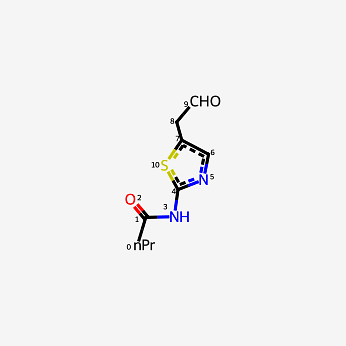 CCCC(=O)Nc1ncc(CC=O)s1